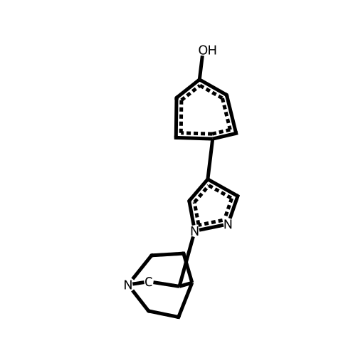 Oc1ccc(-c2cnn(C3CN4CCC3CC4)c2)cc1